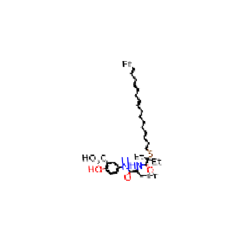 CCC=CCC=CCC=CCCCCCCCCSC(CC)(CC)C(=O)NC(CC(C)C)C(=O)Nc1ccc(O)c(C(=O)O)c1